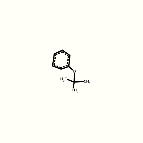 CC(C)(C)Oc1cc[c]cc1